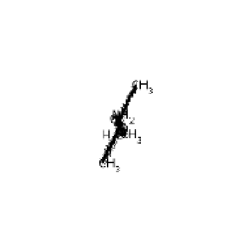 CCCCCCCCCCCCCCCCC(C(N)=O)c1ccc(C(CCCCCCCCCCCCCCCC)C(=O)N(C)C)cc1